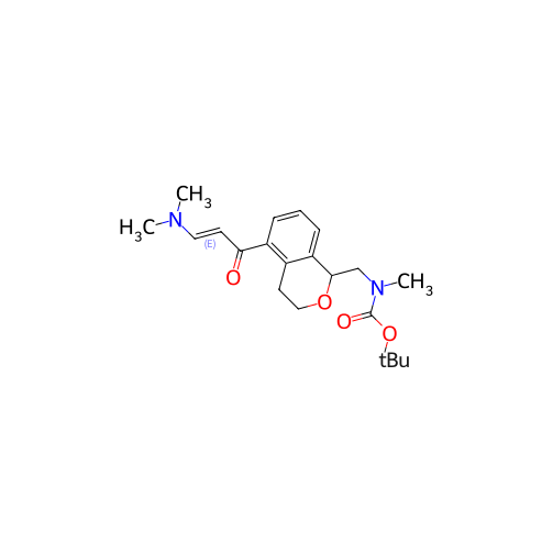 CN(C)/C=C/C(=O)c1cccc2c1CCOC2CN(C)C(=O)OC(C)(C)C